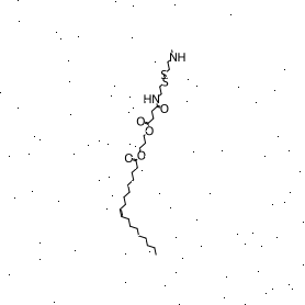 CCCCCCCC/C=C\CCCCCCCC(=O)OCCCOC(=O)CCC(=O)NCCSSCCNC